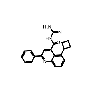 N=C(N)NC(=O)c1cc(-c2ccccc2)nc2cccc(C3CCC3)c12